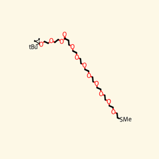 CSCCOCCOCCOCCOCCOCCOCCOCCOCCC(=O)OCCOCCO[Si](C)(C)C(C)(C)C